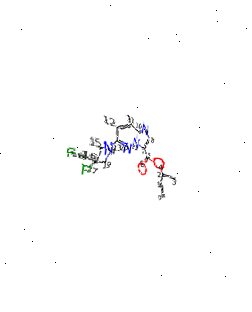 C=CC(=C)OC(=O)c1cnc2ccc(N3CC(F)(F)C3)nn12